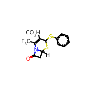 O=C(O)C1=C(C(F)(F)F)N2C(=O)C[C@H]2SC1Sc1ccccc1